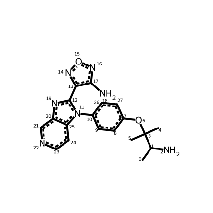 CC(N)C(C)(C)Oc1ccc(-n2c(-c3nonc3N)nc3cnccc32)cc1